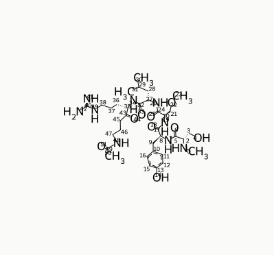 CN[C@@H](CO)C(=O)N[C@@H](Cc1ccc(O)cc1)C(=O)N[C@H](COC)C(=O)N[C@@H](CC(C)C)C(=O)N[C@@H](CCCNC(=N)N)C(=O)CCCNC(C)=O